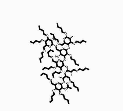 CCCCOCC1O[C@H](OCC2O[C@@H](O[C@@H]3C(COCCCC)O[C@@H](OCCCC)[C@@H](C)C3OCCCC)[C@H](OCCCC)C(O[C@@H]3OC(COCCCC)[C@H](OCCCC)C(OCCCC)[C@@H]3O[C@H](OC(COCCCC)[C@H](C)O[C@@H]3OC(COCCCC)[C@H](OCCCC)C(OCCCC)[C@@H]3OC(C)=O)[C@@H](C)COCCCC)[C@@H]2O)[C@H](O)C(OCCCC)[C@@H]1OCCCC